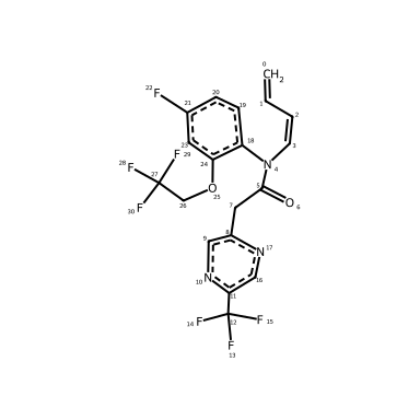 C=C/C=C\N(C(=O)Cc1cnc(C(F)(F)F)cn1)c1ccc(F)cc1OCC(F)(F)F